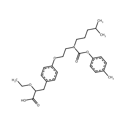 CCOC(Cc1ccc(OCCN(CCCC(C)C)C(=O)Oc2ccc(C)cc2)cc1)C(=O)O